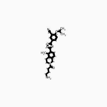 Cc1c(-c2noc(-c3ccc(OC(C)C)c(C#N)c3)n2)ccc2c1CCN(C(=O)CCCN)C2